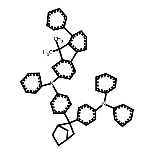 CC1(C)c2cc(N(c3ccccc3)c3ccc(C4(c5ccc(N(c6ccccc6)c6ccccc6)cc5)CC5CCC4C5)cc3)ccc2-c2cccc(-c3ccccc3)c21